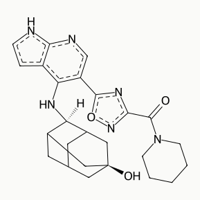 O=C(c1noc(-c2cnc3[nH]ccc3c2N[C@H]2C3CC4CC2C[C@@](O)(C4)C3)n1)N1CCCCC1